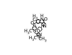 Cc1cc2[nH]c(=O)c3cnn(C4CCOCC4)c3c2cc1C(=O)N1CCN(Cc2cnn(C)c2C)[C@@H](C)C1